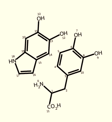 NC(Cc1ccc(O)c(O)c1)C(=O)O.Oc1cc2cc[nH]c2cc1O